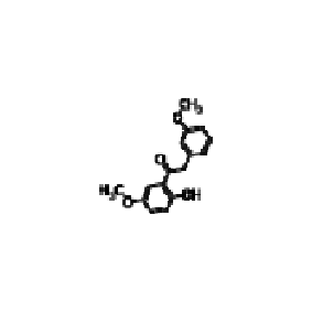 COc1cccc(CC(=O)c2cc(OC)ccc2O)c1